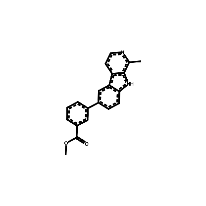 COC(=O)c1cccc(-c2ccc3[nH]c4c(C)nccc4c3c2)c1